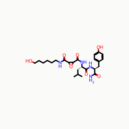 CC(C)C[C@H](NC(=O)C1OC1C(=O)NCCCCCCO)C(=O)N[C@@H](Cc1ccc(O)cc1)C(N)=O